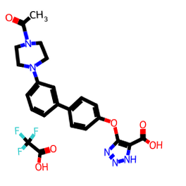 CC(=O)N1CCN(c2cccc(-c3ccc(Oc4nn[nH]c4C(=O)O)cc3)c2)CC1.O=C(O)C(F)(F)F